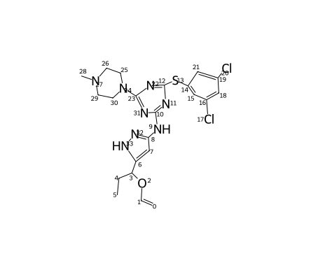 C=COC(CC)c1cc(Nc2nc(Sc3cc(Cl)cc(Cl)c3)nc(N3CCN(C)CC3)n2)n[nH]1